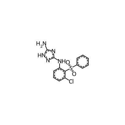 Nc1nc(Nc2cccc(Cl)c2S(=O)(=O)c2ccccc2)n[nH]1